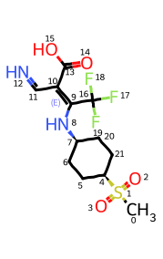 CS(=O)(=O)[C@H]1CC[C@@H](N/C(=C(\C=N)C(=O)O)C(F)(F)F)CC1